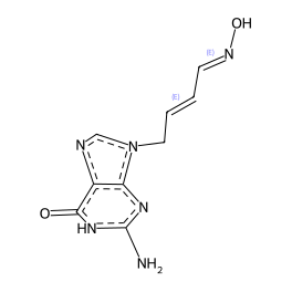 Nc1nc2c(ncn2C/C=C/C=N/O)c(=O)[nH]1